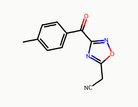 Cc1ccc(C(=O)c2noc(CC#N)n2)cc1